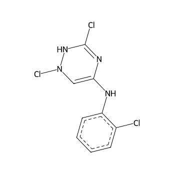 ClC1=NC(Nc2ccccc2Cl)=CN(Cl)N1